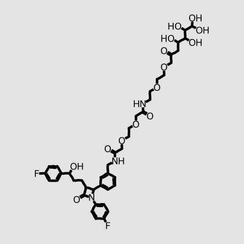 O=C(COCCOCCNC(=O)COCCOCC(=O)NCc1cccc(C2C(CCC(O)c3ccc(F)cc3)C(=O)N2c2ccc(F)cc2)c1)CC(O)C(O)C(O)C(O)O